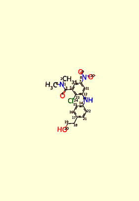 CN(C)C(=O)c1cc([N+](=O)[O-])cc(Nc2ccc(CCO)cc2)c1Cl